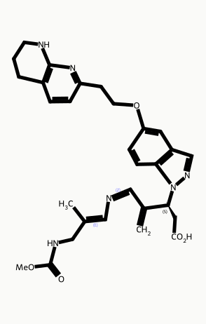 C=C(/C=N\C=C(/C)CNC(=O)OC)[C@H](CC(=O)O)n1ncc2cc(OCCc3ccc4c(n3)NCCC4)ccc21